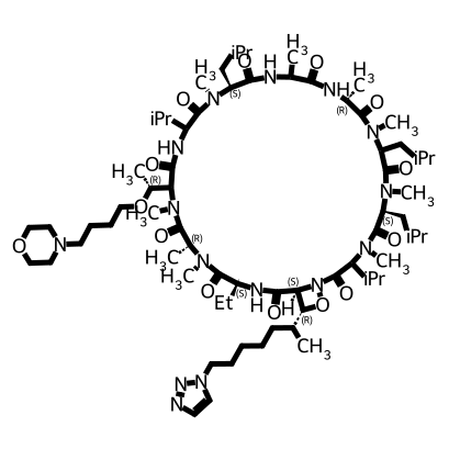 CC[C@@H]1NC(=O)[C@@H]2[C@@H](C(C)CCCCCn3ccnn3)ON2C(=O)C(C(C)C)N(C)C(=O)[C@H](CC(C)C)N(C)C(=O)C(CC(C)C)N(C)C(=O)[C@@H](C)NC(=O)C(C)NC(=O)[C@H](CC(C)C)N(C)C(=O)C(C(C)C)NC(=O)C([C@@H](C)OCCCCN2CCOCC2)N(C)C(=O)[C@@H](C)N(C)C1=O